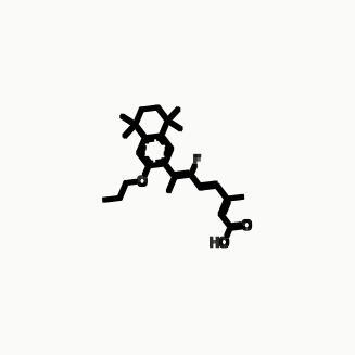 CCCOc1cc2c(cc1C(C)=C(F)C=CC(C)=CC(=O)O)C(C)(C)CCC2(C)C